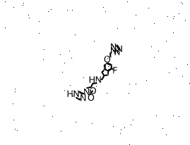 O=C1OC(CCNCC2Cc3cc(OCCn4ncnn4)cc(F)c3C2)CN1C1=CNCC=N1